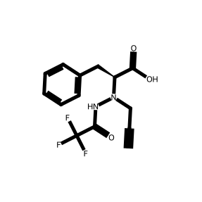 C#CCN(NC(=O)C(F)(F)F)[C@@H](Cc1ccccc1)C(=O)O